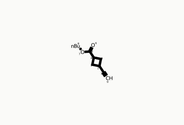 C#CC1CC(C(=O)OCCCC)C1